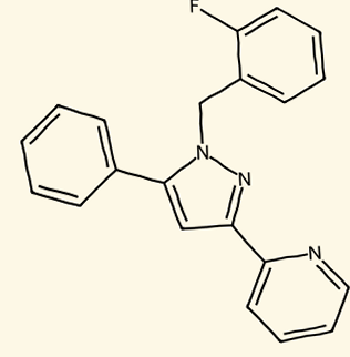 Fc1ccccc1Cn1nc(-c2ccccn2)cc1-c1ccccc1